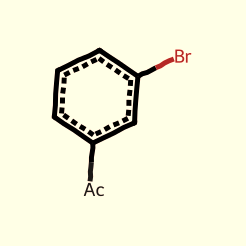 [CH2]C(=O)c1cccc(Br)c1